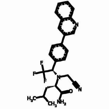 CC(C)C[C@@H](C(N)=O)N(CC#N)[C@@H](c1ccc(-c2cnc3ccccc3c2)cc1)C(F)(F)F